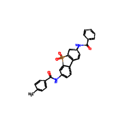 Cc1ccc(C(=O)Nc2ccc3c(c2)S(=O)(=O)c2cc(NC(=O)c4ccccc4)ccc2-3)cc1